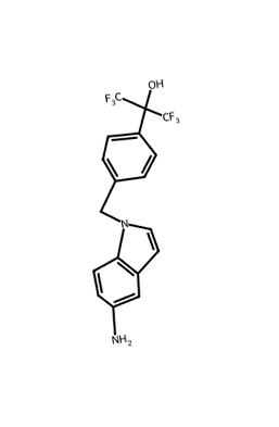 Nc1ccc2c(ccn2Cc2ccc(C(O)(C(F)(F)F)C(F)(F)F)cc2)c1